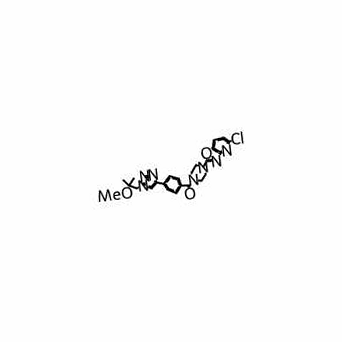 COC(C)(C)Cn1cc(-c2ccc(C(=O)N3CCN(c4nc5nc(Cl)ccc5o4)CC3)cc2)nn1